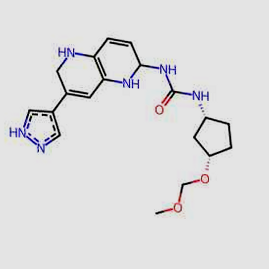 COCO[C@H]1CC[C@@H](NC(=O)NC2C=CC3=C(C=C(c4cn[nH]c4)CN3)N2)C1